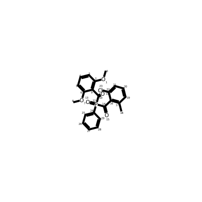 COc1cccc(OC)c1C(=O)P(=O)(C(=O)c1c(C)cccc1Cl)c1ccccc1